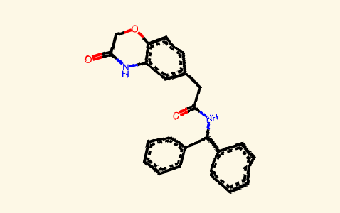 O=C1COc2ccc(CC(=O)NC(c3ccccc3)c3ccccc3)cc2N1